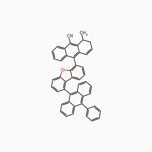 CC1CC=Cc2c1c(C#N)c1ccccc1c2-c1cccc2c1oc1cccc(-c3c4ccccc4c(-c4ccccc4)c4ccccc34)c12